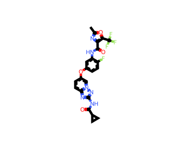 Cc1nc(C(=O)Nc2cc(Oc3ccc4nc(NC(=O)C5CC5)nn4c3)ccc2F)c(C(F)(F)F)o1